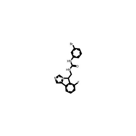 O=C(NCC1c2c(F)cccc2-c2cncn21)Nc1cccc(Br)c1